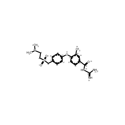 CN(C)CCS(=O)(=O)Cc1ccc(Oc2ccc(C(=O)NC(=N)N)cc2C(F)(F)F)cc1